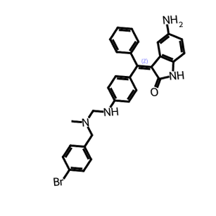 CN(CNc1ccc(/C(=C2\C(=O)Nc3ccc(N)cc32)c2ccccc2)cc1)Cc1ccc(Br)cc1